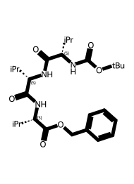 CC(C)[C@H](NC(=O)OC(C)(C)C)C(=O)N[C@H](C(=O)N[C@H](C(=O)OCc1ccccc1)C(C)C)C(C)C